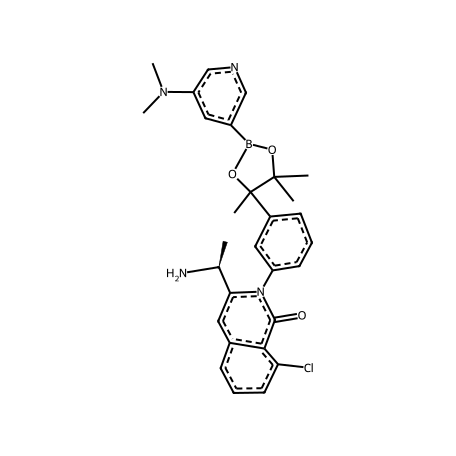 C[C@H](N)c1cc2cccc(Cl)c2c(=O)n1-c1cccc(C2(C)OB(c3cncc(N(C)C)c3)OC2(C)C)c1